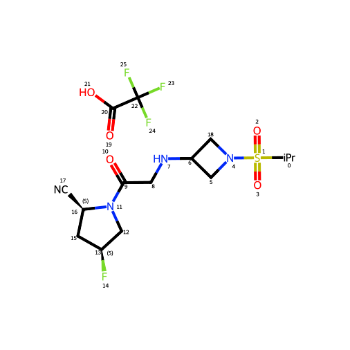 CC(C)S(=O)(=O)N1CC(NCC(=O)N2C[C@@H](F)C[C@H]2C#N)C1.O=C(O)C(F)(F)F